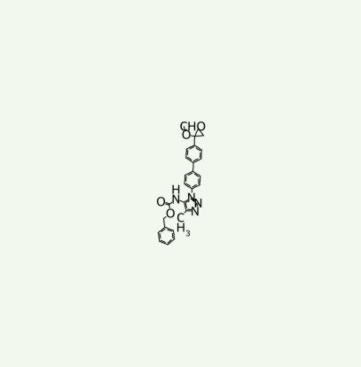 Cc1nnn(-c2ccc(-c3ccc(C4(OC=O)CC4)cc3)cc2)c1NC(=O)OCc1ccccc1